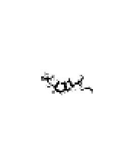 CCOC(=O)c1cc2cc(OC(F)(F)F)ccc2[se]1